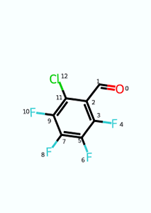 O=Cc1c(F)c(F)c(F)c(F)c1Cl